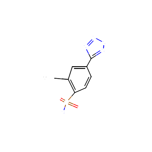 COc1cc(-c2nn[nH]n2)ccc1S(N)(=O)=O